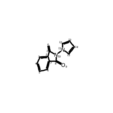 C=C1c2ccccc2C(=O)N1n1cccc1